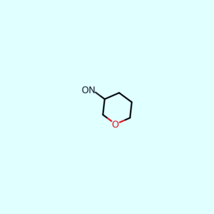 O=NC1CCCOC1